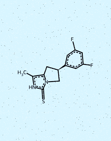 Cc1[nH]c(=S)n2c1C[C@@H](c1cc(F)cc(F)c1)C2